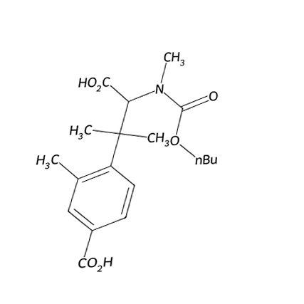 CCCCOC(=O)N(C)C(C(=O)O)C(C)(C)c1ccc(C(=O)O)cc1C